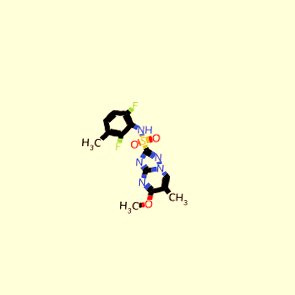 COc1nc2nc(S(=O)(=O)Nc3c(F)ccc(C)c3F)nn2cc1C